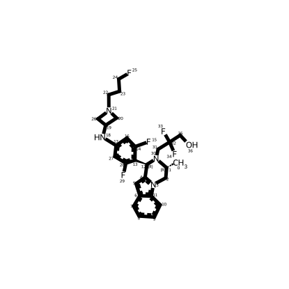 C[C@@H]1Cn2c(cc3ccccc32)[C@@H](c2c(F)cc(NC3CN(CCCF)C3)cc2F)N1CC(F)(F)CO